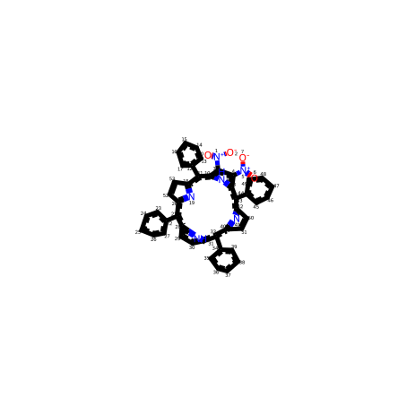 O=[N+]([O-])c1c([N+](=O)[O-])c2[nH]c1c(-c1ccccc1)c1nc(c(-c3ccccc3)c3ccc([nH]3)c(-c3ccccc3)c3nc(c2-c2ccccc2)C=C3)C=C1